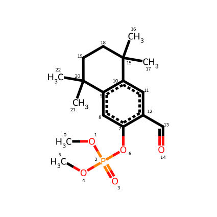 COP(=O)(OC)Oc1cc2c(cc1C=O)C(C)(C)CCC2(C)C